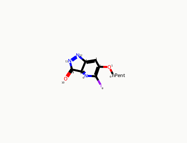 CCCCCOc1cc2c(nc1I)C(=O)N=N2